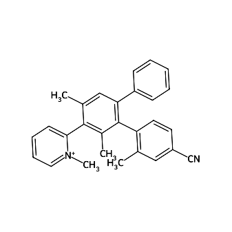 Cc1cc(C#N)ccc1-c1c(-c2ccccc2)cc(C)c(-c2cccc[n+]2C)c1C